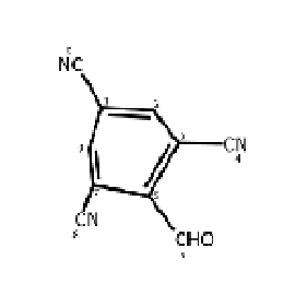 N#Cc1cc(C#N)c(C=O)c(C#N)c1